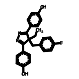 CCC1(Cc2ccc(F)cc2)C(c2ccc(O)cc2)=NN=C1c1ccc(O)cc1